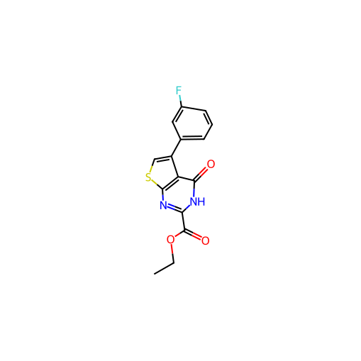 CCOC(=O)c1nc2scc(-c3cccc(F)c3)c2c(=O)[nH]1